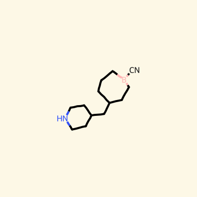 N#CB1CCCC(CC2CCNCC2)CC1